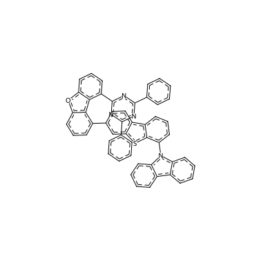 c1ccc(-c2nc(-c3ccccc3)nc(-c3cccc4oc5cccc(-c6ccc7c(c6)sc6c(-n8c9ccccc9c9ccccc98)cccc67)c5c34)n2)cc1